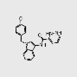 O=C(Nc1cn(Cc2ccc(Cl)cc2)c2ccccc12)C1=CC=CNN1